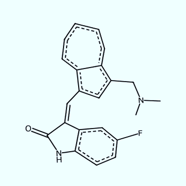 CN(C)Cc1cc(/C=C2/C(=O)Nc3ccc(F)cc32)c2cccccc1-2